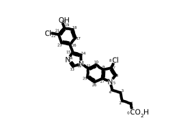 O=C(O)CCCCn1cc(Cl)c2cc(-n3cnc(-c4ccc(O)c(Cl)c4)c3)ccc21